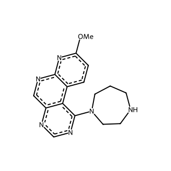 COc1ccc2c(ncc3ncnc(N4CCCNCC4)c32)n1